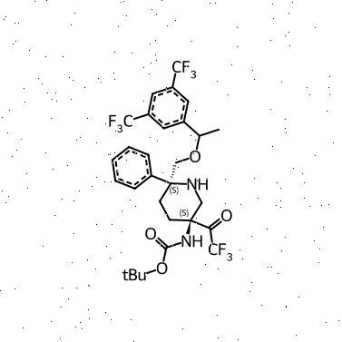 CC(OC[C@@]1(c2ccccc2)CC[C@@](NC(=O)OC(C)(C)C)(C(=O)C(F)(F)F)CN1)c1cc(C(F)(F)F)cc(C(F)(F)F)c1